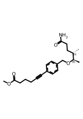 COC(=O)CCCC#Cc1ccc(CO[C@H](C)[C@@H](C)CCC(N)=O)cc1